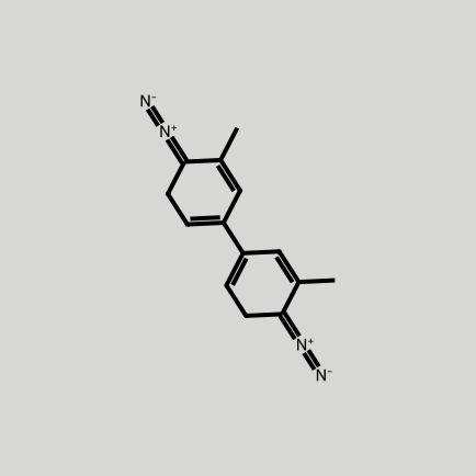 CC1=CC(C2=CCC(=[N+]=[N-])C(C)=C2)=CCC1=[N+]=[N-]